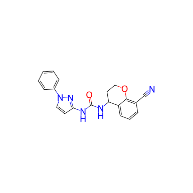 N#Cc1cccc2c1OCCC2NC(=O)Nc1ccn(-c2ccccc2)n1